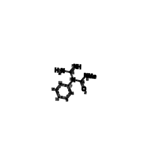 CNC(=O)N(C(=N)N)c1ccccc1